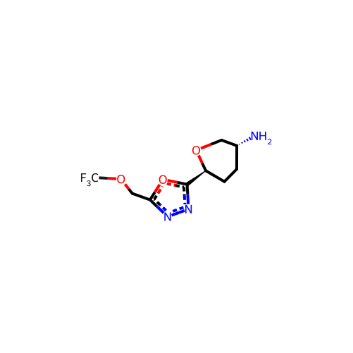 N[C@@H]1CC[C@@H](c2nnc(COC(F)(F)F)o2)OC1